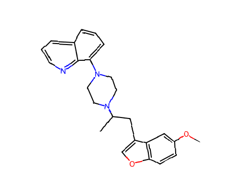 COc1ccc2occ(CC(C)N3CCN(c4cccc5cccnc45)CC3)c2c1